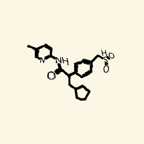 Cc1ccc(NC(=O)C(CC2CCCC2)c2ccc(C[SH](=O)=O)cc2)nc1